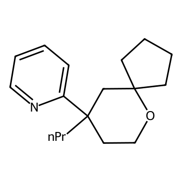 CCCC1(c2ccccn2)CCOC2(CCCC2)C1